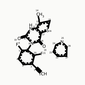 C#Cc1ccc(F)c(-n2c(=O)[nH]c3c(C)csc3c2=O)c1F.c1ccncc1